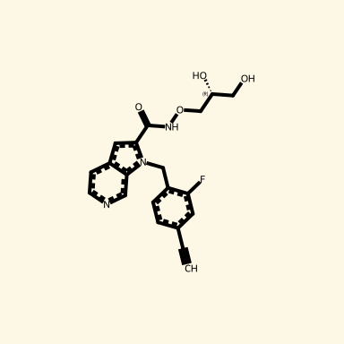 C#Cc1ccc(Cn2c(C(=O)NOC[C@H](O)CO)cc3ccncc32)c(F)c1